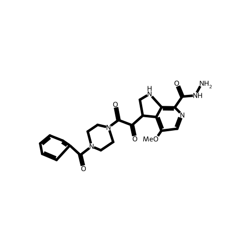 COc1cnc(C(=O)NN)c2c1C(C(=O)C(=O)N1CCN(C(=O)c3ccccc3)CC1)CN2